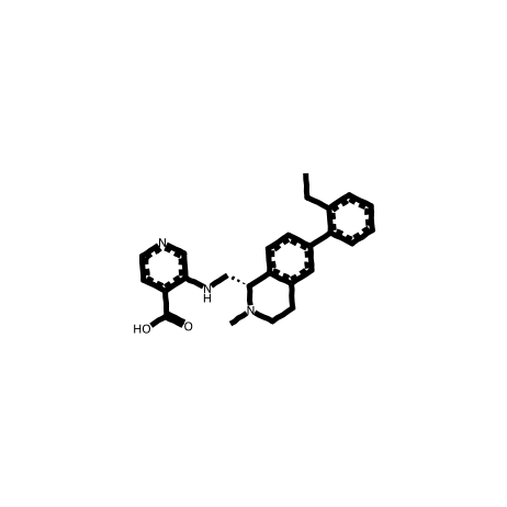 CCc1ccccc1-c1ccc2c(c1)CCN(C)[C@@H]2CNc1cnccc1C(=O)O